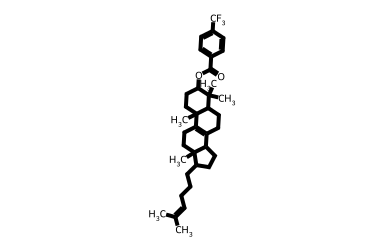 CC(C)=CCCCC1CCC2C3=C(CCC12C)C1(C)CCC(OC(=O)c2ccc(C(F)(F)F)cc2)C(C)(C)C1CC3